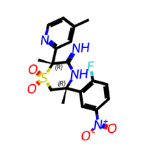 Cc1ccnc([C@]2(C)C(=N)N[C@](C)(c3cc([N+](=O)[O-])ccc3F)CS2(=O)=O)c1